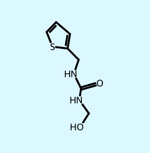 O=C(NCO)NCc1cccs1